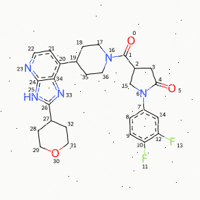 O=C(C1CC(=O)N(c2ccc(F)c(F)c2)C1)N1CCC(c2ccnc3[nH]c(C4CCOCC4)nc23)CC1